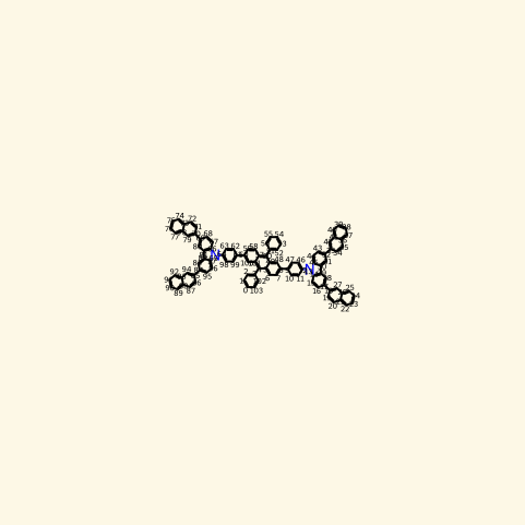 c1ccc(-c2c3ccc(-c4ccc(-n5c6ccc(-c7ccc8ccccc8c7)cc6c6cc(-c7ccc8ccccc8c7)ccc65)cc4)cc3c(-c3ccccc3)c3ccc(-c4ccc(-n5c6ccc(-c7ccc8ccccc8c7)cc6c6cc(-c7ccc8ccccc8c7)ccc65)cc4)cc23)cc1